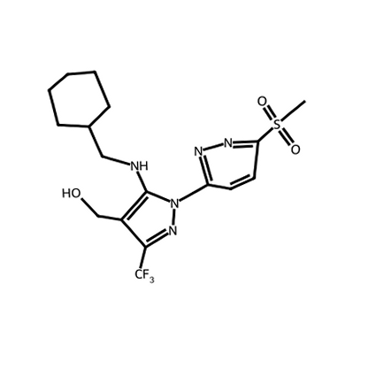 CS(=O)(=O)c1ccc(-n2nc(C(F)(F)F)c(CO)c2NCC2CCCCC2)nn1